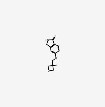 CC1(COc2ccc3c(c2)CNC3=O)COC1